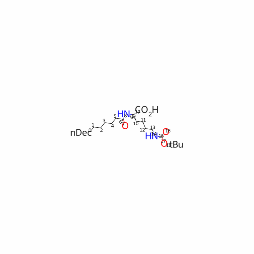 CCCCCCCCCCCCCCCC(=O)N[C@@H](CCCCNC(=O)OC(C)(C)C)C(=O)O